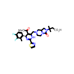 COC(=O)C1=C(CN2CCN3C(=O)N(C(C)(C)CC(=O)O)CC3C2)NC(c2nccs2)=N[C@H]1c1ccc(F)c(F)c1C